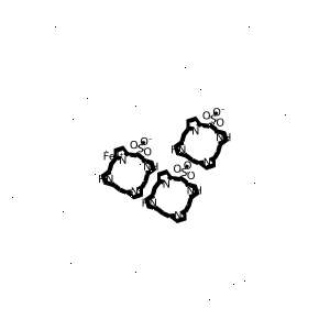 O=S(=O)([O-])c1c2nc(cc3ccc(cc4nc(cc5ccc1[nH]5)C=C4)[nH]3)C=C2.O=S(=O)([O-])c1c2nc(cc3ccc(cc4nc(cc5ccc1[nH]5)C=C4)[nH]3)C=C2.O=S(=O)([O-])c1c2nc(cc3ccc(cc4nc(cc5ccc1[nH]5)C=C4)[nH]3)C=C2.[Fe+3]